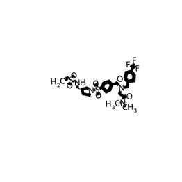 C=CS(=O)(=O)NC[C@H]1CCN(S(=O)(=O)c2ccc(C(=O)N(CC(=O)N(C)C)Cc3ccc(C(F)(F)F)cc3)cc2)C1